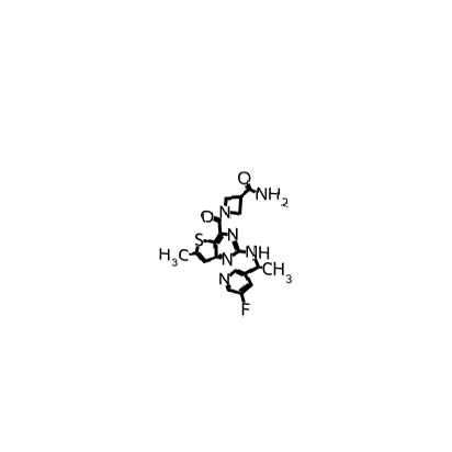 Cc1cc2nc(N[C@@H](C)c3cncc(F)c3)nc(C(=O)N3CC(C(N)=O)C3)c2s1